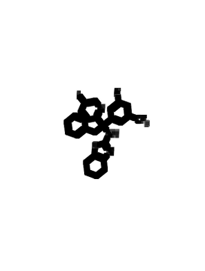 Fc1cc(C(F)(F)F)cc(C(Cc2ccccc2)(Nc2nc3c(s2)CCCC3)c2ccc(I)cn2)c1